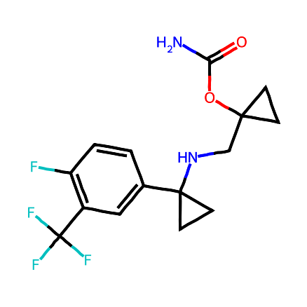 NC(=O)OC1(CNC2(c3ccc(F)c(C(F)(F)F)c3)CC2)CC1